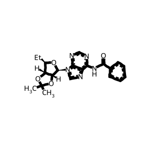 CC[C@H]1O[C@@H](n2cnc3c(NC(=O)c4ccccc4)ncnc32)[C@@H]2OC(C)(C)O[C@@H]21